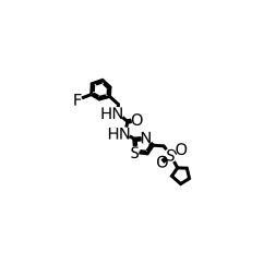 O=C(NCc1cccc(F)c1)Nc1nc(CS(=O)(=O)C2CCCC2)cs1